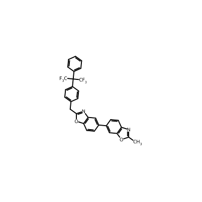 Cc1nc2ccc(-c3ccc4oc(Cc5ccc(C(c6ccccc6)(C(F)(F)F)C(F)(F)F)cc5)nc4c3)cc2o1